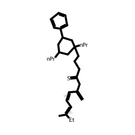 C=C(/C=C\C=C(/C)CC)CC(=S)CCCC1(CCC)CC(CCC)CC(c2ccccc2)C1